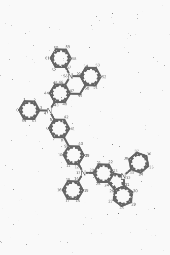 c1ccc(N(c2ccc(-c3ccc(N(c4ccccc4)c4ccc5c(c4)c4ccccc4n5-c4ccccc4)cc3)cc2)c2ccc3c(c2)Cc2ccccc2N3c2ccccc2)cc1